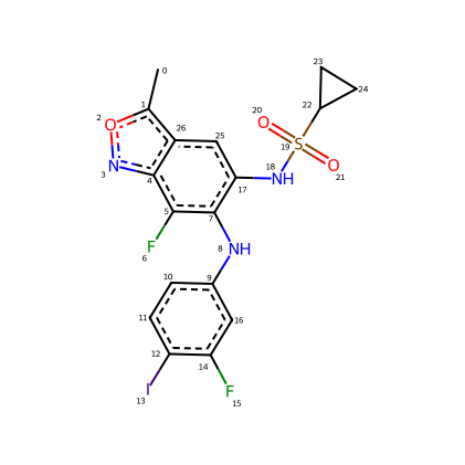 Cc1onc2c(F)c(Nc3ccc(I)c(F)c3)c(NS(=O)(=O)C3CC3)cc12